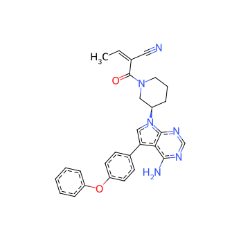 C/C=C(/C#N)C(=O)N1CCC[C@@H](n2cc(-c3ccc(Oc4ccccc4)cc3)c3c(N)ncnc32)C1